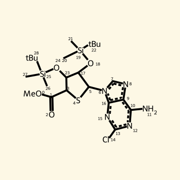 COC(=O)C1SC(n2cnc3c(N)nc(Cl)nc32)C(O[Si](C)(C)C(C)(C)C)C1O[Si](C)(C)C(C)(C)C